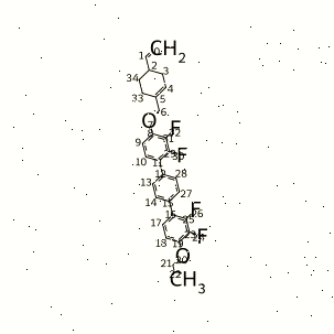 C=CC1CC=C(COc2ccc(-c3ccc(-c4ccc(OCC)c(F)c4F)cc3)c(F)c2F)CC1